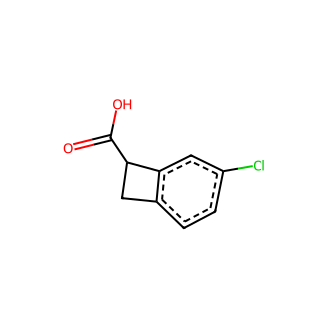 O=C(O)C1Cc2ccc(Cl)cc21